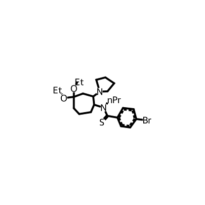 CCCN(C(=S)c1ccc(Br)cc1)C1CCCC(OCC)(OCC)CC1N1CCCC1